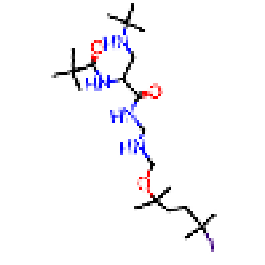 CC(C)(I)CCC(C)(C)OCNCNC(=O)C(CNC(C)(C)C)NC(=O)C(C)(C)C